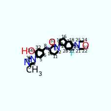 Cc1cn(-c2ccc(/C=C3\CCCN([C@H]4CCc5cc(N6CCOCC6)c(F)cc54)C3=O)cc2O)cn1